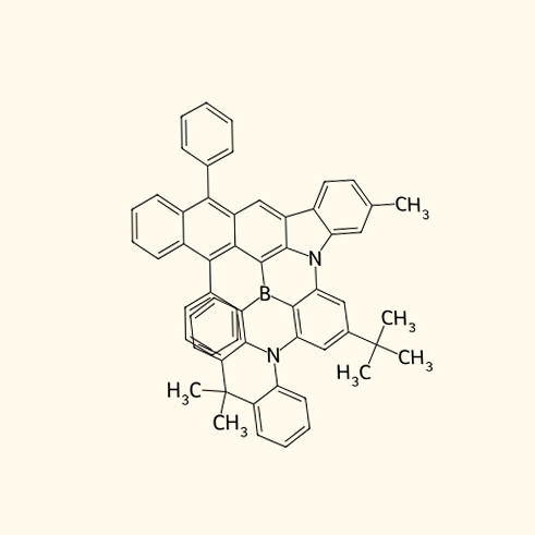 Cc1ccc2c3cc4c(-c5ccccc5)c5ccccc5c(-c5ccccc5)c4c4c3n(c2c1)-c1cc(C(C)(C)C)cc2c1B4c1cccc3c1N2c1ccccc1C3(C)C